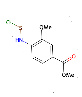 COC(=O)c1ccc(NSCl)c(OC)c1